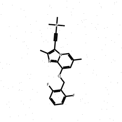 Cc1cc(OCc2c(F)cccc2F)c2nc(C)c(C#CS(C)(C)C)n2c1